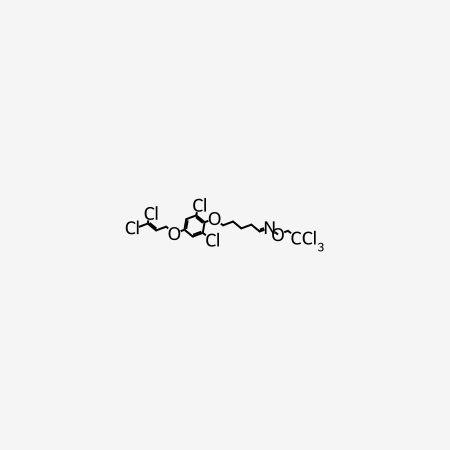 ClC(Cl)=CCOc1cc(Cl)c(OCCCCC=NOCC(Cl)(Cl)Cl)c(Cl)c1